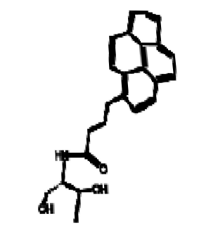 C[C@H](O)[C@H](CO)NC(=O)CCCc1ccc2ccc3cccc4ccc1c2c34